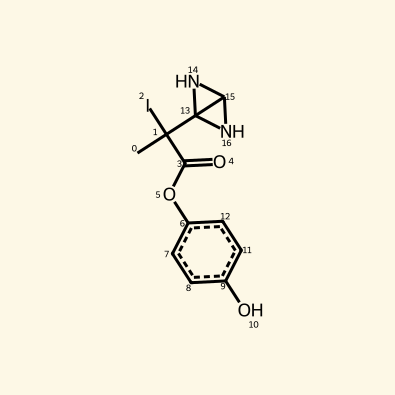 CC(I)(C(=O)Oc1ccc(O)cc1)C12NC1N2